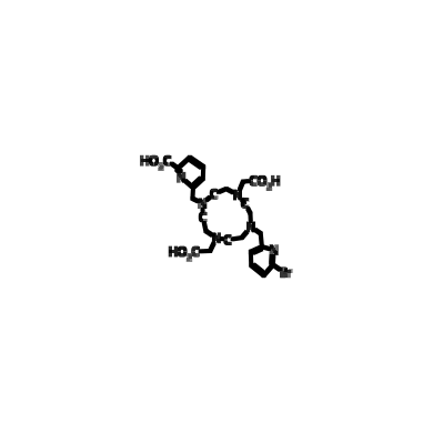 O=C(O)CN1CCN(Cc2cccc(Br)n2)CCN(CC(=O)O)CCN(Cc2cccc(C(=O)O)n2)CC1